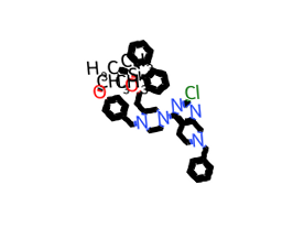 COc1ccc(CN2CCN(c3nc(Cl)nc4c3CCN(Cc3ccccc3)C4)CC2CCO[Si](c2ccccc2)(c2ccccc2)C(C)(C)C)cc1